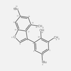 Cc1cc(C(C)(C)C)cc(-c2coc3cc(C(C)(C)C)cc(C)c23)c1O